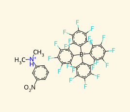 C[NH+](C)c1cccc([N+](=O)[O-])c1.Fc1c(F)c(F)c([B-](c2c(F)c(F)c(F)c(F)c2F)(c2c(F)c(F)c(F)c(F)c2F)c2c(F)c(F)c(F)c(F)c2F)c(F)c1F